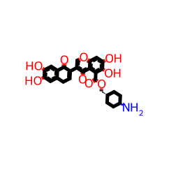 N[C@H]1CC[C@H](COC(=O)c2c(O)c(O)cc3occ(C4=CCc5cc(O)c(O)cc5C4=O)c(=O)c23)CC1